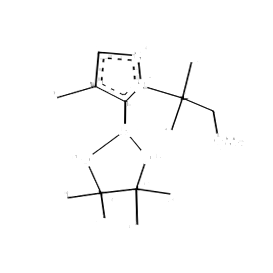 COCC(C)(C)n1ncc(C)c1B1OC(C)(C)C(C)(C)O1